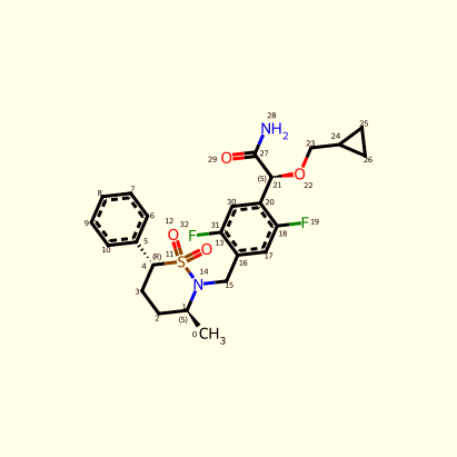 C[C@H]1CC[C@H](c2ccccc2)S(=O)(=O)N1Cc1cc(F)c([C@H](OCC2CC2)C(N)=O)cc1F